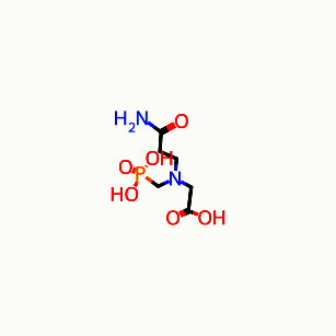 NC(=O)CCN(CC(=O)O)CP(=O)(O)O